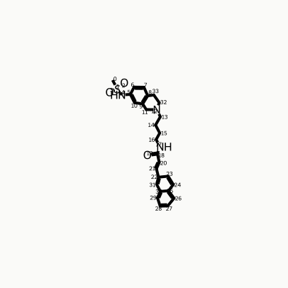 CS(=O)(=O)Nc1ccc2c(c1)CN(CCCCNC(=O)/C=C/c1ccc3ccccc3c1)CC2